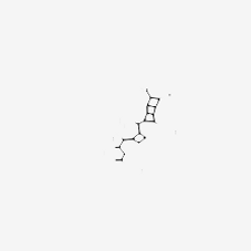 CCC1C(O)C2C3C(C)C(C(C)C4CCC4C(C)C(C)CC(C)C)C3C12